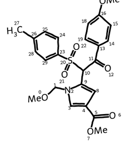 COCn1cc(C(=O)OC)cc1C(C(=O)c1ccc(OC)cc1)S(=O)(=O)c1ccc(C)cc1